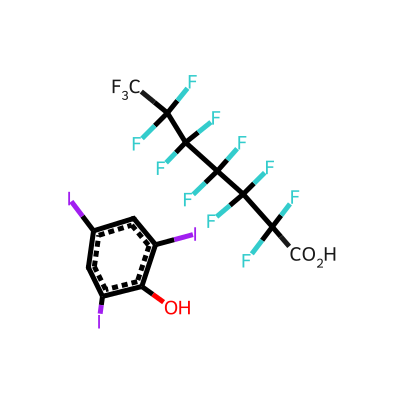 O=C(O)C(F)(F)C(F)(F)C(F)(F)C(F)(F)C(F)(F)C(F)(F)F.Oc1c(I)cc(I)cc1I